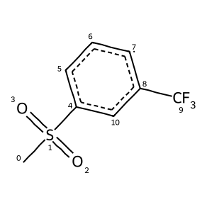 CS(=O)(=O)c1cc[c]c(C(F)(F)F)c1